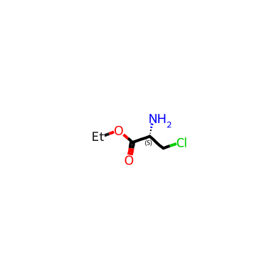 CCOC(=O)[C@H](N)CCl